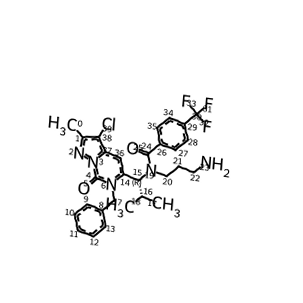 Cc1nn2c(=O)n(Cc3ccccc3)c([C@@H](C(C)C)N(CCCN)C(=O)c3ccc(C(F)(F)F)cc3)cc2c1Cl